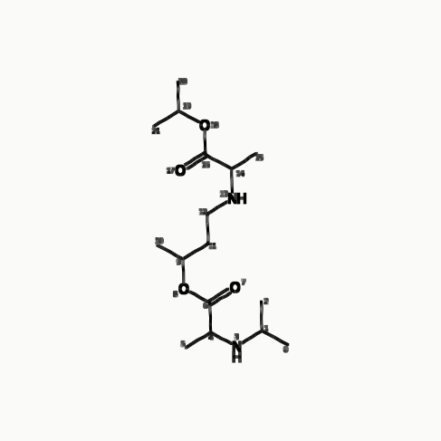 CC(C)NC(C)C(=O)OC(C)CCNC(C)C(=O)OC(C)C